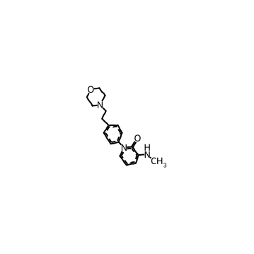 CNc1cccn(-c2ccc(CCN3CCOCC3)cc2)c1=O